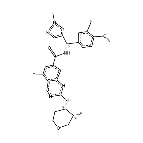 COc1ccc([C@H](NC(=O)c2cc(F)c3cnc(N[C@H]4CCOC[C@H]4F)nc3c2)c2cnn(C)c2)cc1F